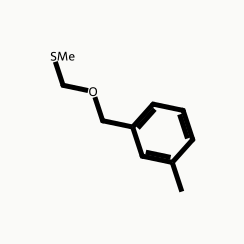 CSCOCc1cccc(C)c1